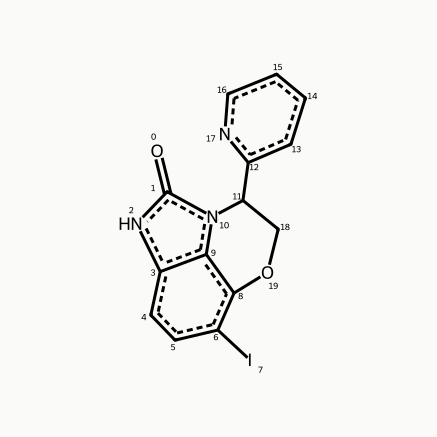 O=c1[nH]c2ccc(I)c3c2n1C(c1ccccn1)CO3